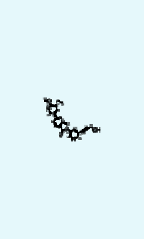 COc1cc(-c2ccc3c(n2)CN(c2cncc(C#CCO)c2)C3=O)cnc1OC